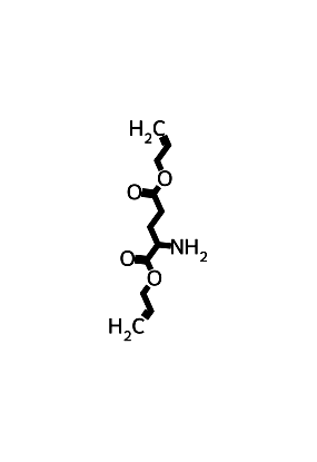 C=CCOC(=O)CCC(N)C(=O)OCC=C